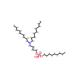 CCCCCCCCCOP(=O)(O)OCCCCN(CCCCCCCCC)CCCCCCCCC